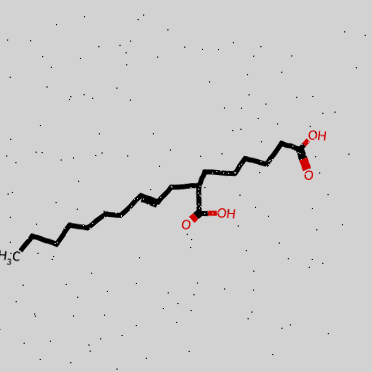 CCCCCCC/C=C/CC(CCCCCC(=O)O)C(=O)O